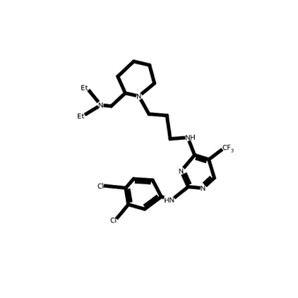 CCN(CC)CC1CCCCN1CCCNc1nc(Nc2ccc(Cl)c(Cl)c2)ncc1C(F)(F)F